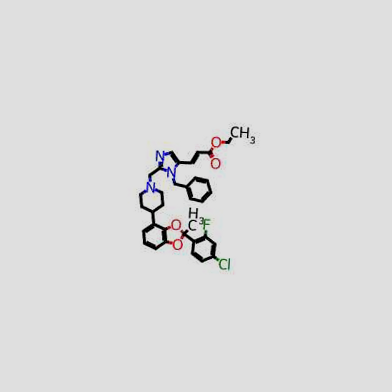 CCOC(=O)/C=C/c1cnc(CN2CCC(c3cccc4c3OC(C)(c3ccc(Cl)cc3F)O4)CC2)n1Cc1ccccc1